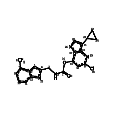 O=C(NCc1cn2c(C(F)(F)F)cccc2n1)Oc1cc(Cl)nc2c(C3CC3)cnn12